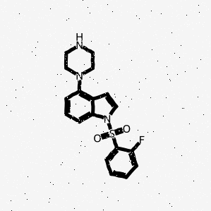 O=S(=O)(c1ccccc1F)n1ccc2c(N3CCNCC3)cccc21